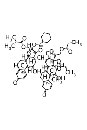 CC(C)C(=O)OCC(=O)[C@@]12O[C@H](C3CCCCC3)O[C@@H]1C[C@H]1[C@@H]3CCC4=CC(=O)C=C[C@]4(C)[C@H]3[C@@H](O)C[C@@]12C.CCC(=O)OCC(=O)[C@@]1(OC(=O)CC)[C@@H](C)C[C@H]2[C@@H]3CCC4=CC(=O)C=C[C@]4(C)[C@@]3(Cl)[C@@H](O)C[C@@]21C